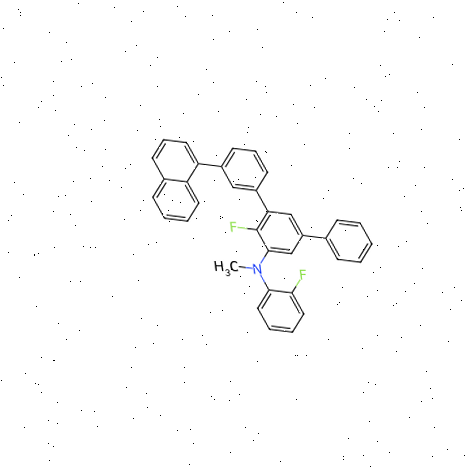 CN(c1ccccc1F)c1cc(-c2ccccc2)cc(-c2cccc(-c3cccc4ccccc34)c2)c1F